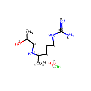 CC(O)CNC(CCCNC(=N)N)C(=O)O.Cl.O